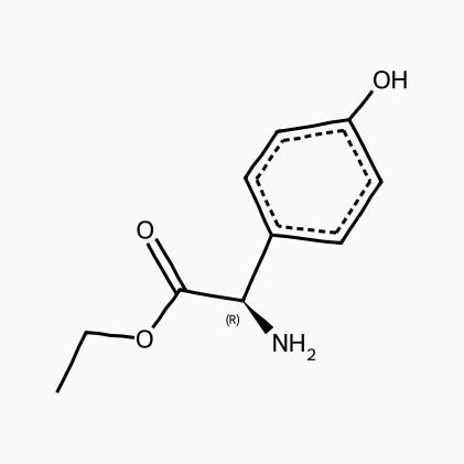 CCOC(=O)[C@H](N)c1ccc(O)cc1